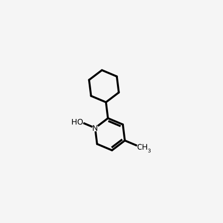 CC1=CCN(O)C(C2CCCCC2)=C1